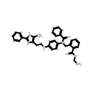 CCOC(=O)c1ccccc1CN(C(=O)c1ccccc1)c1ccc(OCCc2nc(-c3ccccc3)oc2C)cc1